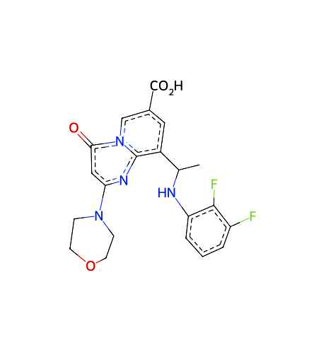 CC(Nc1cccc(F)c1F)c1cc(C(=O)O)cn2c(=O)cc(N3CCOCC3)nc12